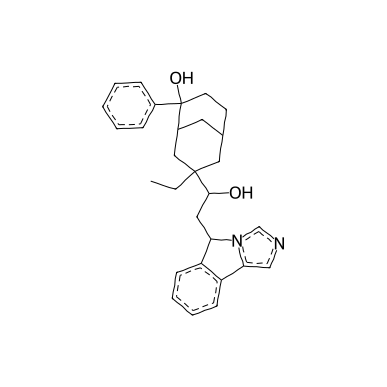 CCC1(C(O)CC2c3ccccc3-c3cncn32)CC2CCC(O)(c3ccccc3)C(C2)C1